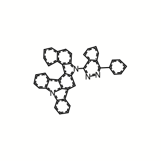 c1ccc(-c2nnc(-n3c4ccc5ccccc5c4c4c5c6ccccc6n6c7ccccc7c(cc43)c56)c3ccccc23)cc1